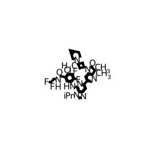 CC(C)n1cnc2cc(-c3cnc4c(c3)N(C3CC(C)(N5CCC6CC6C5)C3)C(=O)C4(C)C)nc(Nc3cc(C(=O)NCC(F)F)c(Cl)c(F)c3F)c21